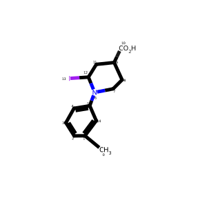 Cc1cccc(N2CCC(C(=O)O)CC2I)c1